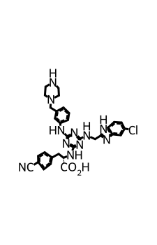 N#Cc1ccc(C[C@H](Nc2nc(NCc3nc4cc(Cl)ccc4[nH]3)nc(Nc3cccc(CN4CCNCC4)c3)n2)C(=O)O)cc1